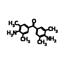 Cc1cc(C(=O)c2cc(C)c(N)c(C)c2)cc(C)c1N